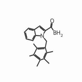 BC(=O)c1cc2ccccc2n1Cc1c(C)c(C)c(C)c(C)c1C